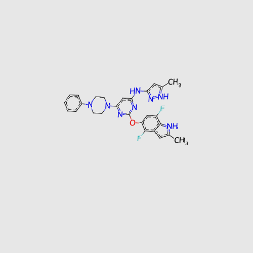 Cc1cc(Nc2cc(N3CCN(c4ccccc4)CC3)nc(Oc3cc(F)c4[nH]c(C)cc4c3F)n2)n[nH]1